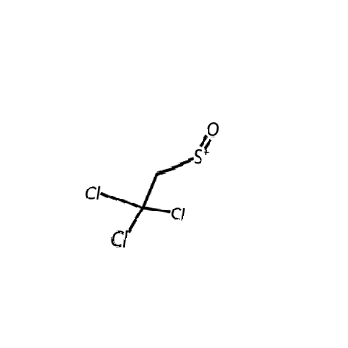 O=[S+]CC(Cl)(Cl)Cl